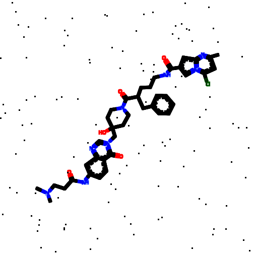 Cc1cc(Cl)n2cc(C(=O)NCCCC(Cc3ccccc3)C(=O)N3CCC(O)(Cn4cnc5cc(NC(=O)CCN(C)C)ccc5c4=O)CC3)cc2n1